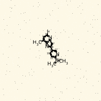 Cc1cc(I)nn2cc(-c3ccc(N(C)C)nc3)nc12